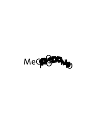 COc1ccc(S(=O)(=O)N2CCC3(CCC(N4CC5(COC5)C4)C3)CC2)cc1F